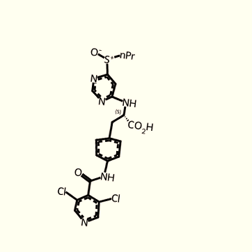 CCC[S+]([O-])c1cc(N[C@@H](Cc2ccc(NC(=O)c3c(Cl)cncc3Cl)cc2)C(=O)O)ncn1